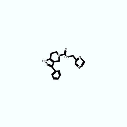 O=C(NCc1cnccn1)N1CCc2[nH]nc(-c3ccccc3)c2C1